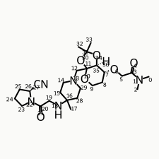 CN(C)C(=O)CO[C@@H]1CCOC2(CN3CCC(C)(NCC(=O)N4CCC[C@H]4C#N)CC3)OC(C)(C)O[C@@H]12